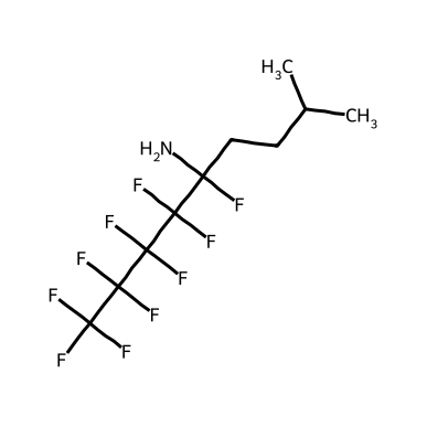 CC(C)CCC(N)(F)C(F)(F)C(F)(F)C(F)(F)C(F)(F)F